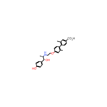 Cc1cc(OCCN[C@H](C)[C@H](O)c2ccc(O)cc2)ccc1-c1ccc(C(=O)O)cc1C